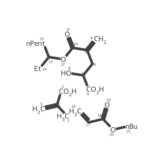 C=C(C)C(=O)O.C=C(CC(O)C(=O)O)C(=O)OC(CC)CCCCC.C=CC(=O)OCCCC